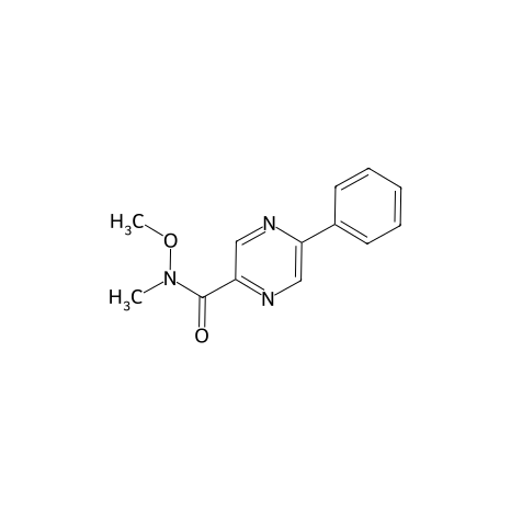 CON(C)C(=O)c1cnc(-c2ccccc2)cn1